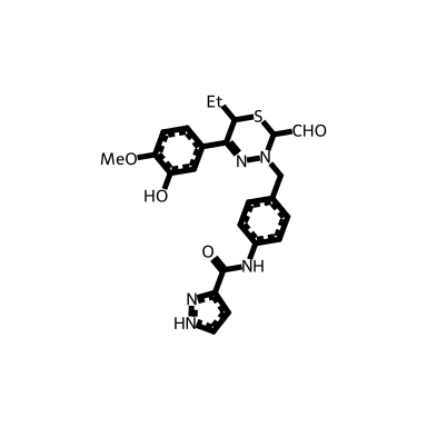 CCC1SC(C=O)N(Cc2ccc(NC(=O)c3cc[nH]n3)cc2)N=C1c1ccc(OC)c(O)c1